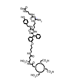 CCC(=O)NCCNC(=O)/N=C(/N)NCCC[C@@H](NC(=O)[C@@H](c1ccccc1)c1cccc(OCCCCNC(=O)CC[C@@H](NC(=O)CN2CCN(CC(=O)O)CCN(CC(=O)O)CCN(CC(=O)O)CC2)C(=O)O)c1)C(=O)NCc1ccc(O)cc1